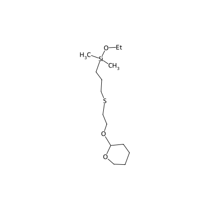 CCO[Si](C)(C)CCCSCCOC1CCCCO1